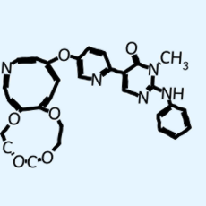 Cn1c(Nc2ccccc2)ncc(-c2ccc(Oc3ccnccc4c(cc3)OCCOCOCCO4)cn2)c1=O